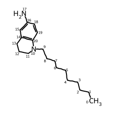 CCCCCCCCCCN1CCCc2cc(N)ccc21